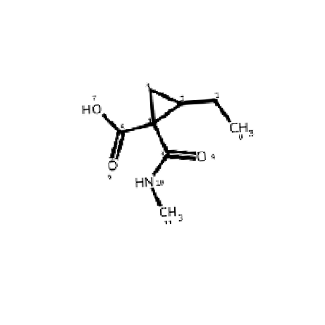 CCC1CC1(C(=O)O)C(=O)NC